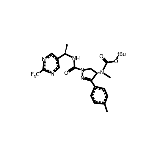 Cc1ccc(C2=NN(C(=O)N[C@H](C)c3cnc(C(F)(F)F)nc3)C[C@@H]2N(C)C(=O)OC(C)(C)C)cc1